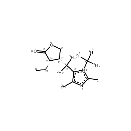 [2H]c1nc(C)n(C([2H])([2H])[2H])c1C([2H])([2H])[C@H]1COC(=O)[C@H]1CC